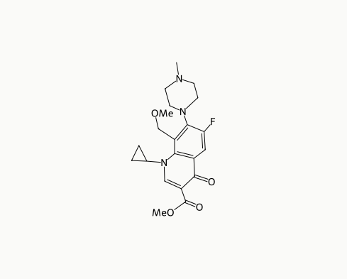 COCc1c(N2CCN(C)CC2)c(F)cc2c(=O)c(C(=O)OC)cn(C3CC3)c12